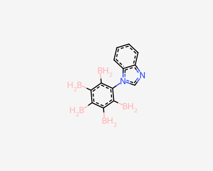 Bc1c(B)c(B)c(-n2cnc3ccccc32)c(B)c1B